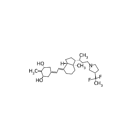 C=C1[C@H](O)CC(=C/C=C2\CCC[C@]3(C)[C@@H](C(C)CCN4CC[C@@H](C(C)(F)F)C4)CC[C@@H]23)C[C@H]1O